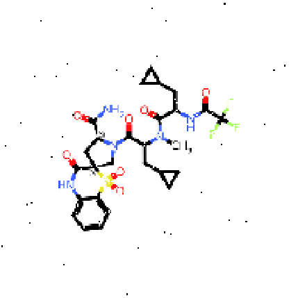 CN(C(=O)C(CC1CC1)NC(=O)C(F)(F)F)C(CC1CC1)C(=O)N1C[C@]2(C[C@H]1C(N)=O)C(=O)Nc1ccccc1S2(=O)=O